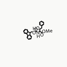 COC(=O)C(NC(=O)OCC1c2ccccc2-c2ccccc21)C(O)Cc1ccccc1